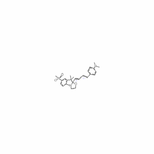 CN(C)c1ccc(/C=C/C=C/C23OCCN2c2ccc(S(C)(=O)=O)cc2C3(C)C)cc1